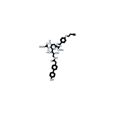 C#CCCOc1ccc(CO[C@]2(C(=O)OC)C[C@H](O)[C@@H](NC(=O)NC)[C@H]([C@H](O)[C@H](O)CNC(=O)Cc3ccc(-c4ccc(O)cc4)cc3)O2)cc1